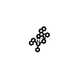 C1=CCC2C(=C1)C=CC=C2C1=CC(c2ccccc2)=CC(c2cccc(-n3c4ccccc4c4c5c6ccccc6ccc5c5ccccc5c43)c2)N1